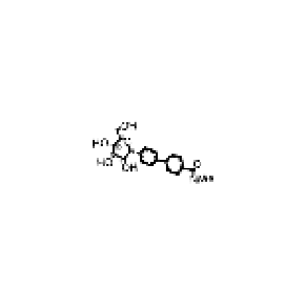 CNC(=O)c1ccc(-c2ccc([C@H]3O[C@H](CO)[C@@H](O)[C@H](O)[C@@H]3O)cc2)cc1